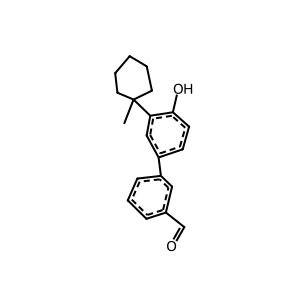 CC1(c2cc(-c3cccc(C=O)c3)ccc2O)CCCCC1